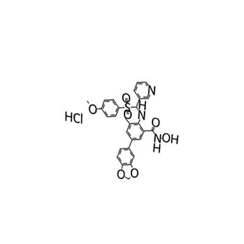 COc1ccc(S(=O)(=O)C(Nc2c(C)cc(-c3ccc4c(c3)OCO4)cc2C(=O)NO)c2cccnc2)cc1.Cl